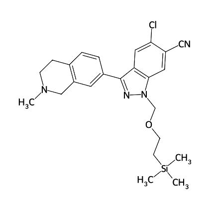 CN1CCc2ccc(-c3nn(COCC[Si](C)(C)C)c4cc(C#N)c(Cl)cc34)cc2C1